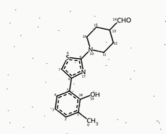 Cc1cccc(-c2csc(N3CCC(C=O)CC3)n2)c1O